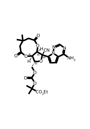 CCOC(=O)C(C)(C)OC(=O)OC[C@H]1O[C@@](C#N)(c2ccc3c(N)ncnn23)[C@@H]2OC(=O)CC(C)(C)CC(=O)O[C@@H]21